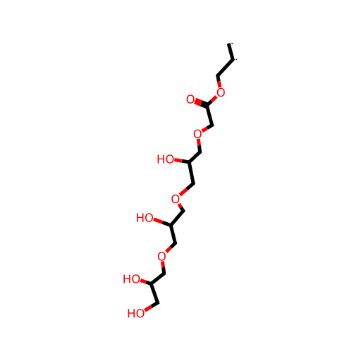 [CH2][CH]COC(=O)COCC(O)COCC(O)COCC(O)CO